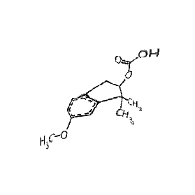 COc1ccc2c(c1)C(C)(C)C(OC(=O)O)C2